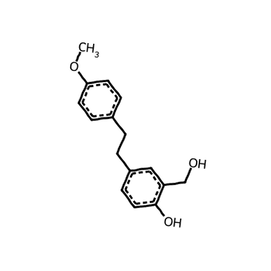 COc1ccc(CCc2ccc(O)c(CO)c2)cc1